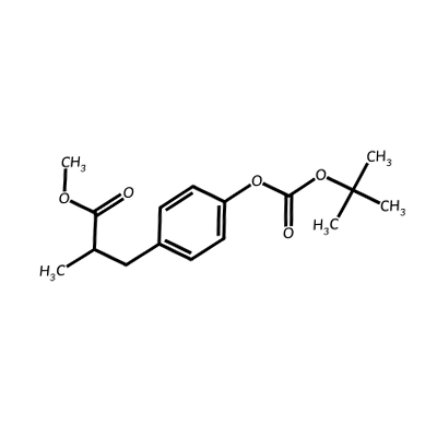 COC(=O)C(C)Cc1ccc(OC(=O)OC(C)(C)C)cc1